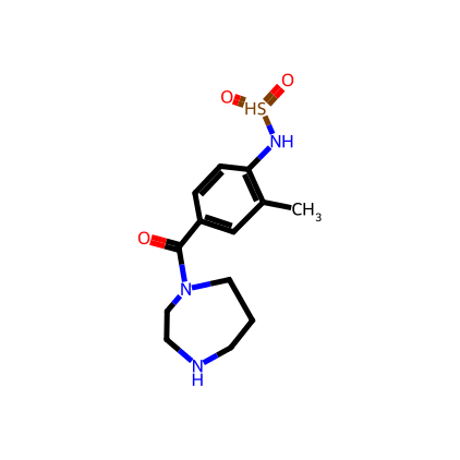 Cc1cc(C(=O)N2CCCNCC2)ccc1N[SH](=O)=O